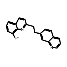 CC(C)c1cccc2ccc(CCc3ccc4cccnc4c3)nc12